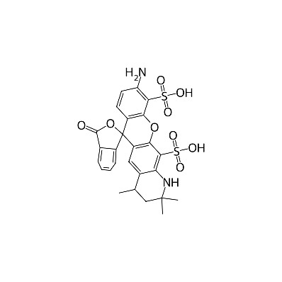 CC1CC(C)(C)Nc2c1cc1c(c2S(=O)(=O)O)Oc2c(ccc(N)c2S(=O)(=O)O)C12OC(=O)c1ccccc12